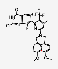 COc1ccc(CN(Cc2ccc(OC)cc2)c2cc(C)c(C(F)(F)F)c(-c3c(Cl)cc4c(=O)[nH]c(Cl)nc4c3F)n2)cc1